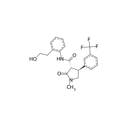 CN1C[C@H](c2cccc(C(F)(F)F)c2)[C@@H](C(=O)Nc2ccccc2CCO)C1=O